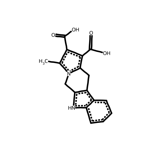 Cc1c(C(=O)O)c(C(=O)O)c2n1Cc1[nH]c3ccccc3c1C2